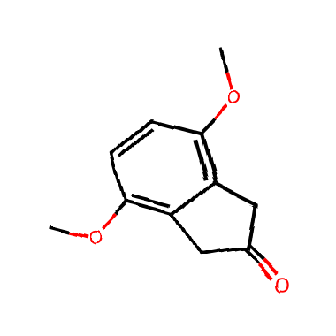 COc1ccc(OC)c2c1CC(=O)C2